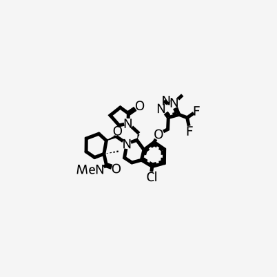 CNC(=O)[C@@]1(C)CCCC[C@H]1C(=O)N1CCc2c(Cl)ccc(OCc3nnn(C)c3C(F)F)c2[C@H]1CN1CCCC1=O